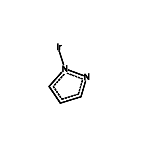 [Ir][n]1cccn1